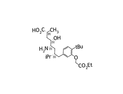 CCOC(=O)COc1cc(C[C@@H](C[C@H](N)[C@@H](O)C[C@@H](C)C(=O)O)C(C)C)ccc1C(C)(C)C